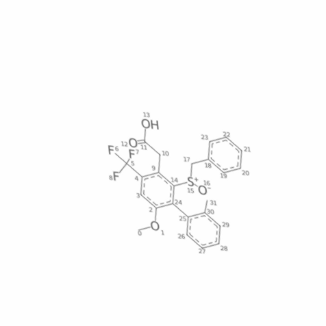 COc1cc(C(F)(F)F)c(CC(=O)O)c([S+]([O-])Cc2ccccc2)c1-c1ccccc1C